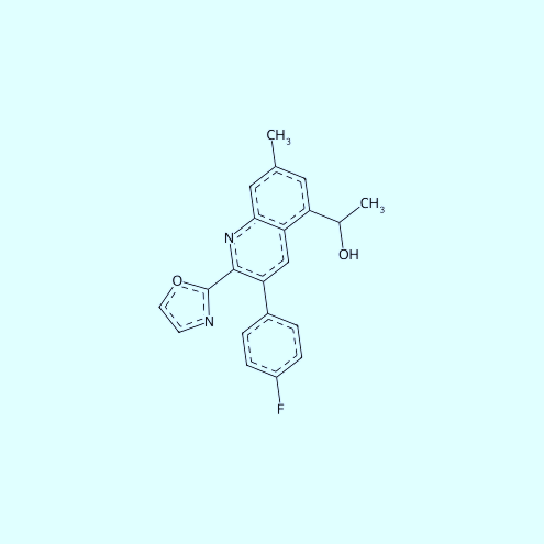 Cc1cc(C(C)O)c2cc(-c3ccc(F)cc3)c(-c3ncco3)nc2c1